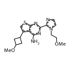 COCCn1ccnc1-c1nc(N)c2c(C3CC(OC)C3)csc2n1